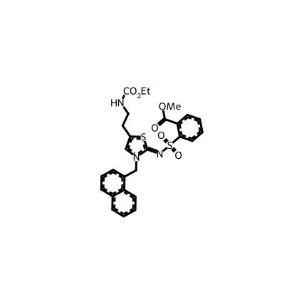 CCOC(=O)NCCc1cn(Cc2cccc3ccccc23)/c(=N/S(=O)(=O)c2ccccc2C(=O)OC)s1